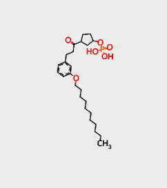 CCCCCCCCCCCOc1cccc(CCC(=O)C2CC[C@@H](OP(=O)(O)O)C2)c1